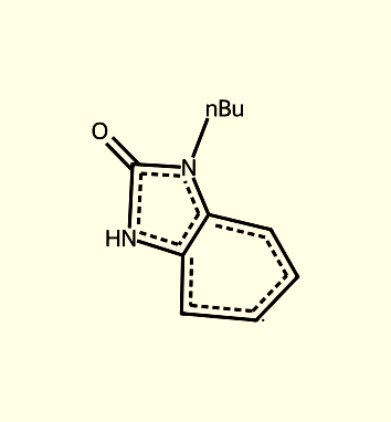 CCCCn1c(=O)[nH]c2c[c]ccc21